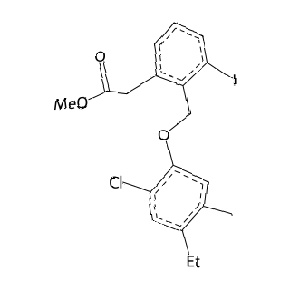 CCc1cc(Cl)c(OCc2c(I)cccc2CC(=O)OC)cc1C